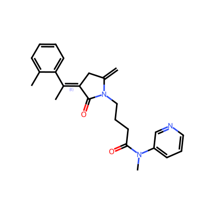 C=C1C/C(=C(/C)c2ccccc2C)C(=O)N1CCCC(=O)N(C)c1cccnc1